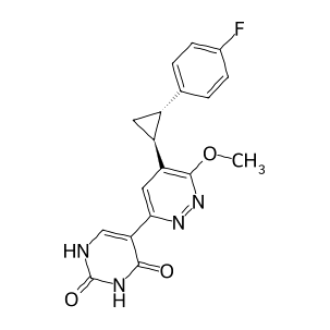 COc1nnc(-c2c[nH]c(=O)[nH]c2=O)cc1[C@H]1C[C@@H]1c1ccc(F)cc1